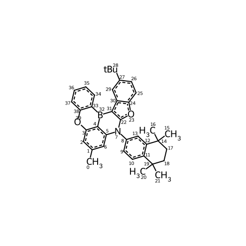 Cc1cc2c3c(c1)N(c1ccc4c(c1)C(C)(C)CCC4(C)C)c1oc4ccc(C(C)(C)C)cc4c1B3c1ccccc1O2